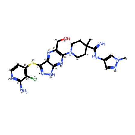 Cn1cc(NC(=N)C2(C)CCN(c3nc4[nH]nc(Sc5ccnc(N)c5Cl)c4nc3CO)CC2)cn1